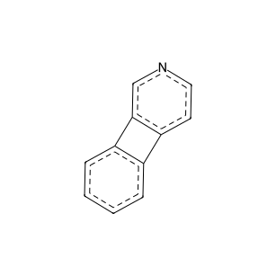 c1ccc2c(c1)-c1ccncc1-2